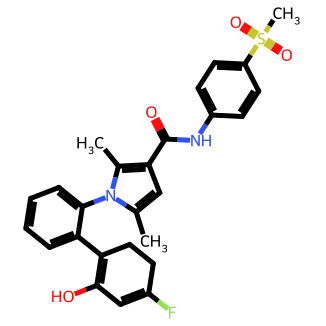 Cc1cc(C(=O)Nc2ccc(S(C)(=O)=O)cc2)c(C)n1-c1ccccc1C1=C(O)C=C(F)CC1